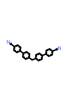 N#Cc1ccc(-c2ccc(Cc3ccc(-c4ccc(C#N)cc4)cc3)cc2)cc1